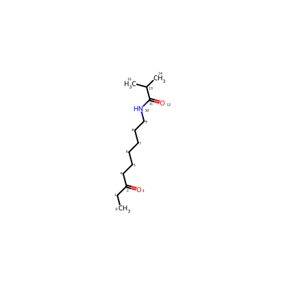 CCC(=O)CCCCCCNC(=O)C(C)C